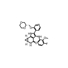 COc1c(F)cccc1Nc1c(-c2ccncc2OC[C@H]2COCCO2)[nH]c2c1C(=O)N[C@H]1C[C@@H]21